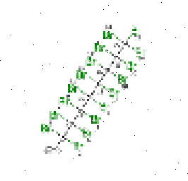 C[CH]C(Br)(Br)C(Br)(Br)C(Br)(Br)C(Br)(Br)C(Br)(Br)C(Br)(Br)C(Br)(Br)C(Br)(Br)Br